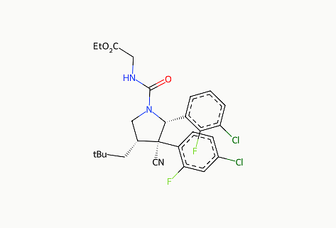 CCOC(=O)CNC(=O)N1C[C@@H](CC(C)(C)C)[C@](C#N)(c2ccc(Cl)cc2F)[C@H]1c1cccc(Cl)c1F